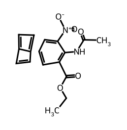 CCOC(=O)c1cccc([N+](=O)[O-])c1NC(C)=O.c1cc2ccc1-2